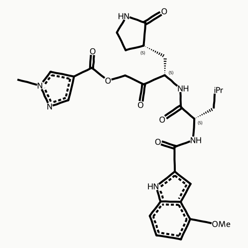 COc1cccc2[nH]c(C(=O)N[C@@H](CC(C)C)C(=O)N[C@@H](C[C@@H]3CCNC3=O)C(=O)COC(=O)c3cnn(C)c3)cc12